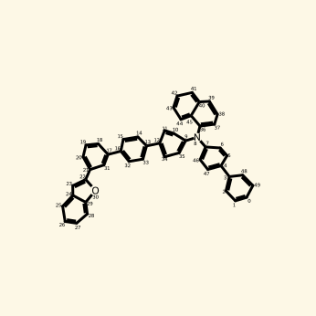 c1ccc(-c2ccc(N(c3ccc(-c4ccc(-c5cccc(-c6cc7ccccc7o6)c5)cc4)cc3)c3cccc4ccccc34)cc2)cc1